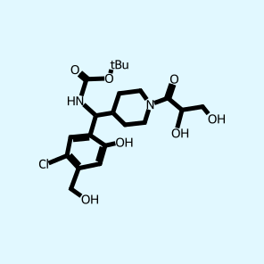 CC(C)(C)OC(=O)NC(c1cc(Cl)c(CO)cc1O)C1CCN(C(=O)C(O)CO)CC1